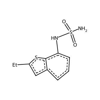 CCc1cc2cccc(NS(N)(=O)=O)c2s1